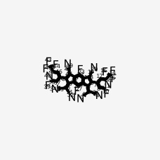 N#CC(C#N)=C1C(c2cc(F)nc(C(F)(F)F)c2)=C(C#N)c2c(F)c3c(c(F)c21)C(=C(C#N)C#N)C(c1cc(F)nc(C(F)(F)F)c1)=C3C#N